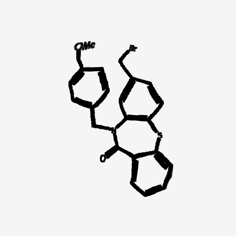 COc1ccc(CN2C(=O)c3ccccc3Sc3ccc(CBr)cc32)cc1